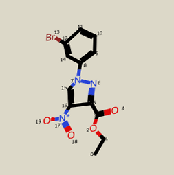 CCOC(=O)c1nn(-c2cccc(Br)c2)cc1[N+](=O)[O-]